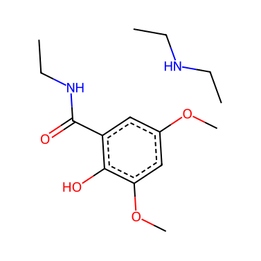 CCNC(=O)c1cc(OC)cc(OC)c1O.CCNCC